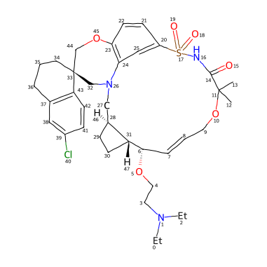 CCN(CC)CCO[C@H]1/C=C/COC(C)(C)C(=O)NS(=O)(=O)c2ccc3c(c2)N(C[C@@H]2CC[C@H]21)C[C@@]1(CCCc2cc(Cl)ccc21)CO3